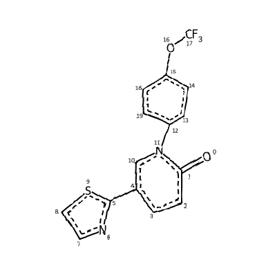 O=c1ccc(-c2nccs2)cn1-c1ccc(OC(F)(F)F)cc1